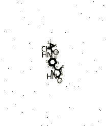 CC1CC(=O)NN=C1c1ccc(NC(=O)C2(Cl)CC2)cc1